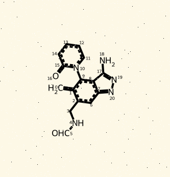 C=c1c(CNC=O)cc2c(c1-n1ccccc1=O)C(N)=NN=2